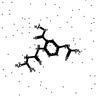 COC(=O)c1cc(NC(C)=O)ccc1NC(=O)NC(C)C